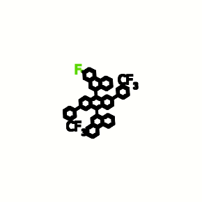 Fc1ccc2c(c1)cc(-c1c3ccc(-c4cccc(C(F)(F)F)c4)cc3c(-c3cc4ccccc4c4ccccc34)c3ccc(-c4cccc(C(F)(F)F)c4)cc13)c1ccccc12